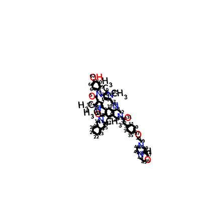 Cc1c(N(C(=O)c2cc(-c3cc4c(cc3C(=O)N3Cc5ccccc5C[C@H]3C)CN(C(=O)Cc3ccc(OCCN5CCN6CCOC[C@@H]6C5)cc3)CC4)n(C)c2C)c2ccc(O)cc2)cc(C#N)n1C